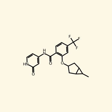 CC1C2CC(Oc3cc(C(F)(F)F)ccc3C(=O)Nc3cc[nH]c(=O)c3)CC12